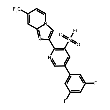 CCS(=O)(=O)c1cc(-c2cc(F)cc(F)c2)cnc1-c1cn2ccc(C(F)(F)F)cc2n1